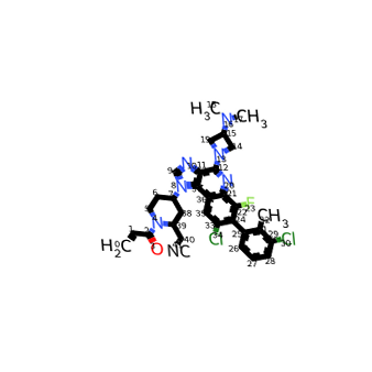 C=CC(=O)N1CCC(n2cnc3c(N4CC(N(C)C)C4)nc4c(F)c(-c5cccc(Cl)c5C)c(Cl)cc4c32)CC1CC#N